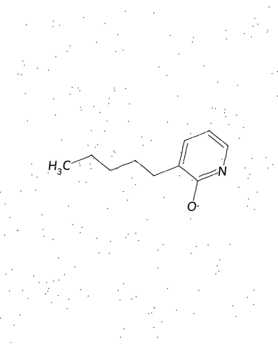 CCCCCc1cccnc1[O]